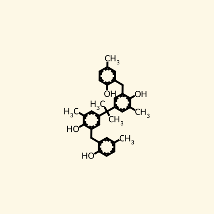 Cc1ccc(O)c(Cc2cc(C(C)(C)c3cc(C)c(O)c(Cc4cc(C)ccc4O)c3)cc(C)c2O)c1